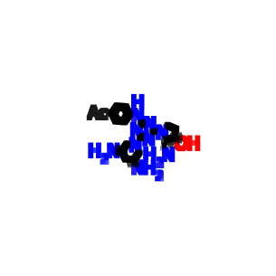 CC(=O)c1ccc(Nc2nc(N3C[C@H](N)C[C@H](N)C3)nc(N3CC[C@H](O)[C@@H]3CN)n2)cc1